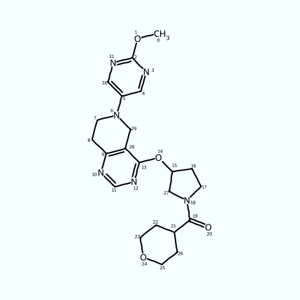 COc1ncc(N2CCc3ncnc(OC4CCN(C(=O)C5CCOCC5)C4)c3C2)cn1